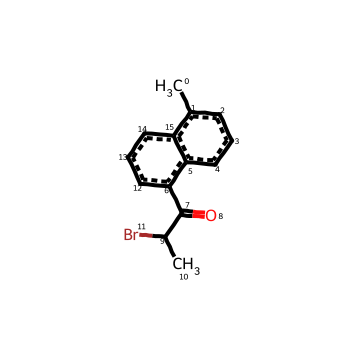 Cc1cccc2c(C(=O)C(C)Br)cccc12